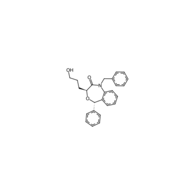 O=C1[C@H](CCCO)O[C@@H](c2ccccc2)c2ccccc2N1Cc1ccccc1